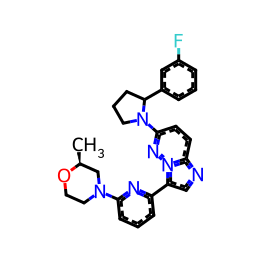 C[C@H]1CN(c2cccc(-c3cnc4ccc(N5CCCC5c5cccc(F)c5)nn34)n2)CCO1